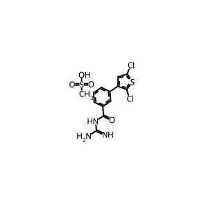 CS(=O)(=O)O.N=C(N)NC(=O)c1cccc(-c2cc(Cl)sc2Cl)c1